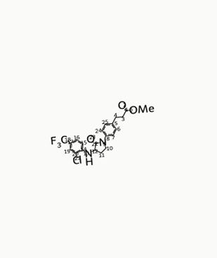 COC(=O)CCc1ccc(N2CCC(Nc3ccc(C(F)(F)F)cc3Cl)C2=O)cc1